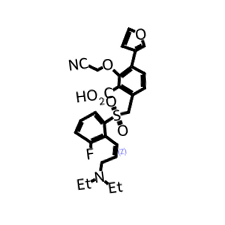 CCN(CC)C/C=C\c1c(F)cccc1S(=O)(=O)Cc1ccc(-c2ccoc2)c(OCC#N)c1C(=O)O